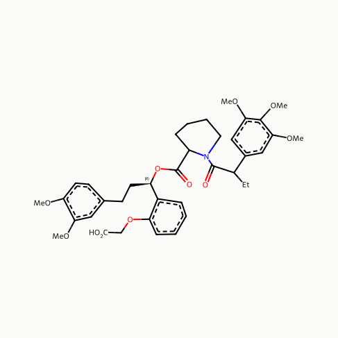 CCC(C(=O)N1CCCCC1C(=O)O[C@H](CCc1ccc(OC)c(OC)c1)c1ccccc1OCC(=O)O)c1cc(OC)c(OC)c(OC)c1